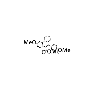 COC(=O)C1=C(c2ccc(OC)cc2)C2CCCCC2c2cc(OC)ccc21